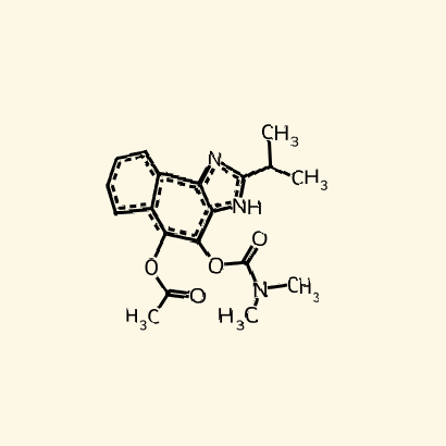 CC(=O)Oc1c(OC(=O)N(C)C)c2[nH]c(C(C)C)nc2c2ccccc12